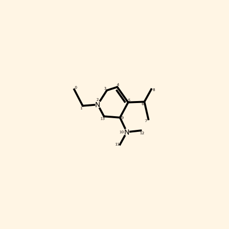 CCN1CC=C(C(C)C)C(N(C)C)C1